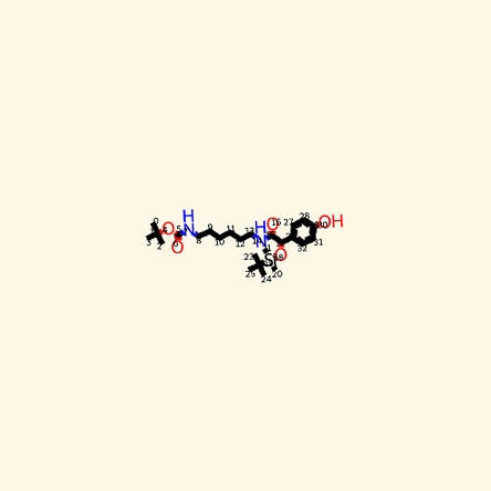 CC(C)(C)OC(=O)NCCCCCCNC(=O)C(O[Si](C)(C)C(C)(C)C)c1ccc(O)cc1